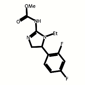 CCN1C(NC(=O)OC)=NCC1c1ccc(F)cc1F